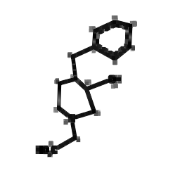 O=C(O)CN1CCC(Cc2ccccc2)C(O)C1